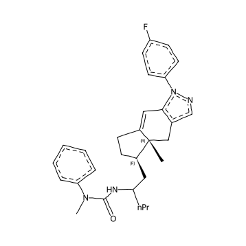 CCCC(C[C@H]1CCC2=Cc3c(cnn3-c3ccc(F)cc3)C[C@@]21C)NC(=O)N(C)c1ccccc1